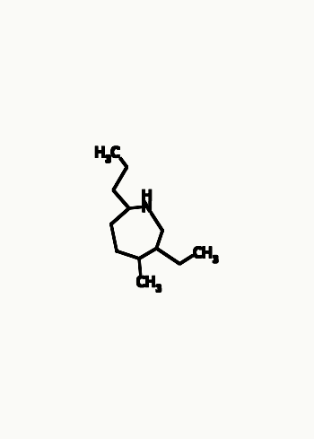 CCCC1CCC(C)C(CC)CN1